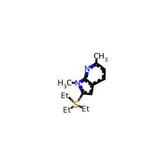 CCS(CC)(CC)c1cc2ccc(C)nc2n1C